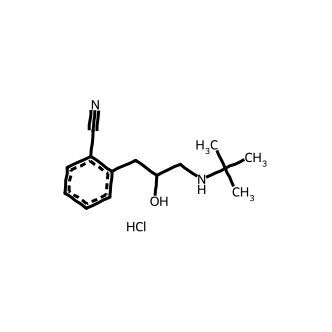 CC(C)(C)NCC(O)Cc1ccccc1C#N.Cl